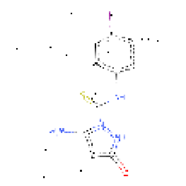 Nc1cc(=O)[nH]n1C(=S)Nc1ccc(I)cc1